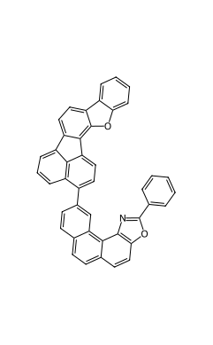 c1ccc(-c2nc3c(ccc4ccc5ccc(-c6ccc7c8c(cccc68)-c6ccc8c(oc9ccccc98)c6-7)cc5c43)o2)cc1